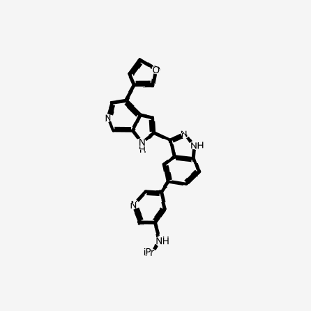 CC(C)Nc1cncc(-c2ccc3[nH]nc(-c4cc5c(-c6ccoc6)cncc5[nH]4)c3c2)c1